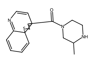 CC1CN(C(=O)C2=C3C=CN=C4C=CC=CC43SC2)CCN1